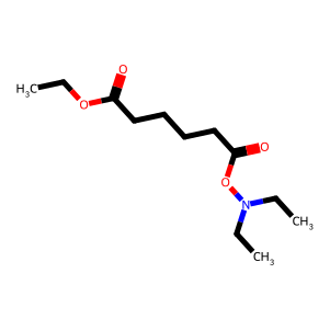 CCOC(=O)CCCCC(=O)ON(CC)CC